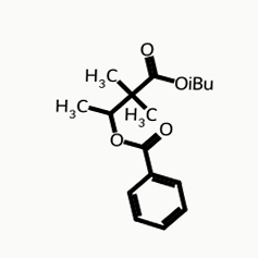 CC(C)COC(=O)C(C)(C)C(C)OC(=O)c1ccccc1